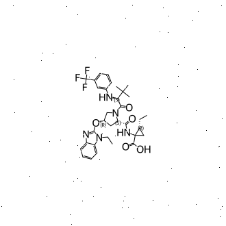 CC[C@@H]1CC1(NC(=O)[C@@H]1C[C@@H](Oc2nc3ccccc3n2CC)CN1C(=O)[C@@H](Nc1cccc(C(F)(F)F)c1)C(C)(C)C)C(=O)O